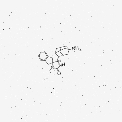 CN1C(=O)N[C@H](C2C3CC4CC2CC(N)(C4)C3)C12Cc1ccccc1C2